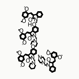 COc1ccc(OC)c(C=C2C(=O)N(CN3CCCCC3)c3ccccc32)c1.COc1ccc(OC)c(C=C2C(=O)N(CN3CCN(C)CC3)c3ccccc32)c1.COc1ccc(OC)c(C=C2C(=O)N(CN3CCOCC3)c3ccccc32)c1.COc1ccc(OC)c(C=C2C(=O)N(CO)c3ccccc32)c1